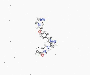 O=C(C1CC1)N1CCN(c2ccnn3cc(-c4ccc(OCCN5CCNCC5)cc4)cc23)CC1